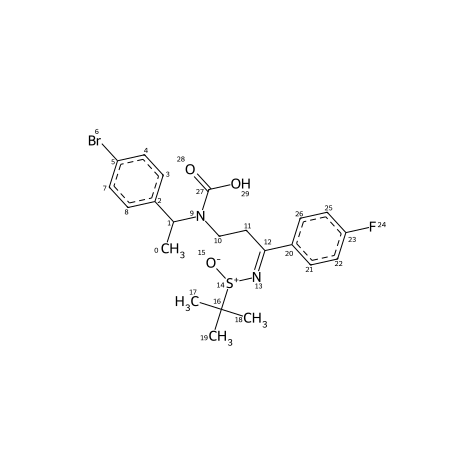 CC(c1ccc(Br)cc1)N(CCC(=N[S+]([O-])C(C)(C)C)c1ccc(F)cc1)C(=O)O